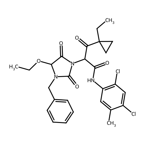 CCOC1C(=O)N(C(C(=O)Nc2cc(C)c(Cl)cc2Cl)C(=O)C2(CC)CC2)C(=O)N1Cc1ccccc1